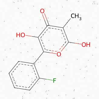 Cc1c(O)oc(-c2ccccc2F)c(O)c1=O